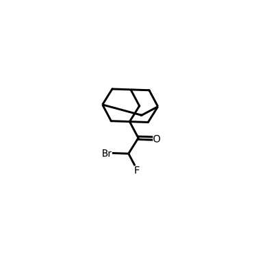 O=C(C(F)Br)C12CC3CC(CC(C3)C1)C2